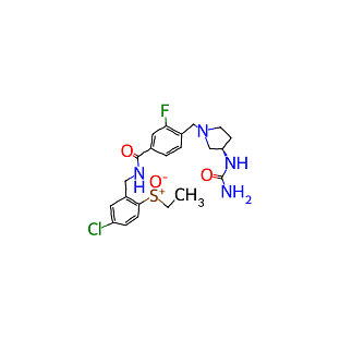 CC[S+]([O-])c1ccc(Cl)cc1CNC(=O)c1ccc(CN2CC[C@@H](NC(N)=O)C2)c(F)c1